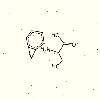 NC(CO)C(=O)O.c1ccc2c(c1)C2